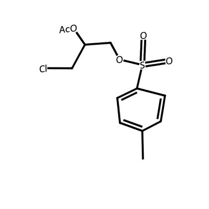 CC(=O)OC(CCl)COS(=O)(=O)c1ccc(C)cc1